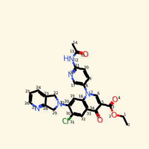 CCOC(=O)c1cn(-c2ccc(NC(C)=O)nc2)c2cc(N3Cc4cccnc4C3)c(Cl)cc2c1=O